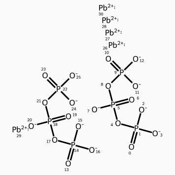 O=P([O-])([O-])OP(=O)([O-])OP(=O)([O-])[O-].O=P([O-])([O-])OP(=O)([O-])OP(=O)([O-])[O-].[Pb+2].[Pb+2].[Pb+2].[Pb+2].[Pb+2]